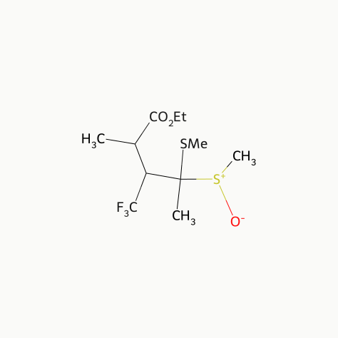 CCOC(=O)C(C)C(C(F)(F)F)C(C)(SC)[S+](C)[O-]